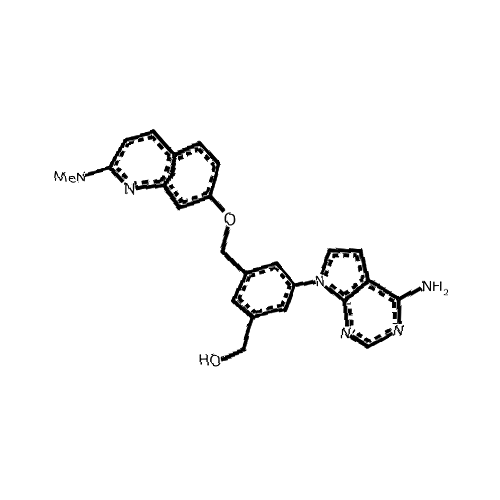 CNc1ccc2ccc(OCc3cc(CO)cc(-n4ccc5c(N)ncnc54)c3)cc2n1